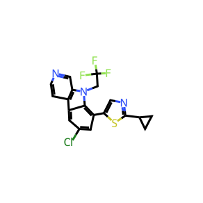 FC(F)(F)Cn1c2cnccc2c2cc(Cl)cc(-c3cnc(C4CC4)s3)c21